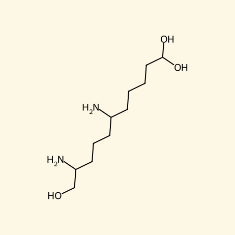 NC(CO)CCCC(N)CCCCC(O)O